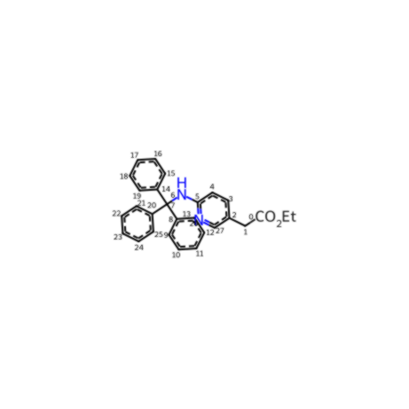 CCOC(=O)Cc1ccc(NC(c2ccccc2)(c2ccccc2)c2ccccc2)nc1